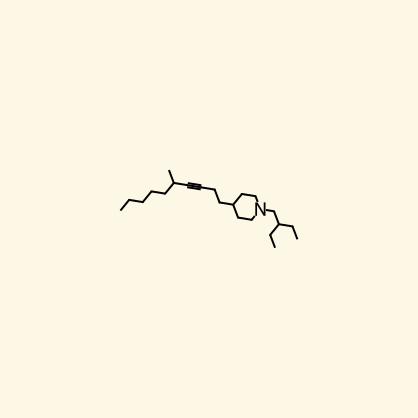 CCCCCC(C)C#CCCC1CCN(CC(CC)CC)CC1